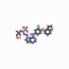 CC(C)(CO)CN(CCn1ccc2ncnc(Nc3ccc(Oc4cccc5sccc45)c(Cl)c3)c21)S(C)(=O)=O